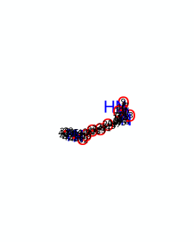 Cn1c(=O)n(C2CCC(=O)NC2=O)c2ccc(CCCOCCOCCOCCOCC(=O)N3CCN(C4CCCCC4)CC3)cc21